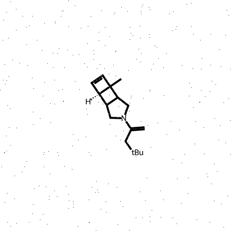 C=C(CC(C)(C)C)N1CC2C(C1)C1(C)C=C[C@H]21